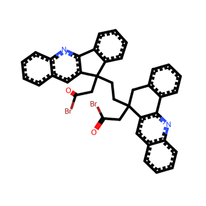 O=C(Br)CC1(CCC2(CC(=O)Br)c3ccccc3-c3nc4ccccc4cc32)Cc2ccccc2-c2nc3ccccc3cc21